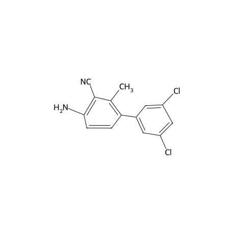 Cc1c(-c2cc(Cl)cc(Cl)c2)ccc(N)c1C#N